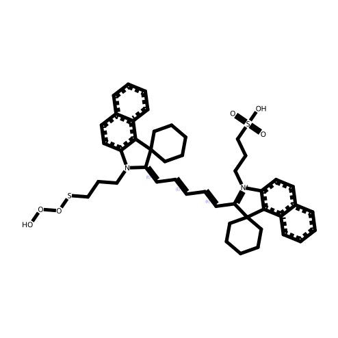 O=S(=O)(O)CCC[N+]1=C(/C=C/C=C/C=C2/N(CCCSOOO)c3ccc4ccccc4c3C23CCCCC3)C2(CCCCC2)c2c1ccc1ccccc21